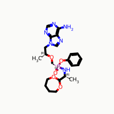 C[C@H](Cn1cnc2c(N)ncnc21)OC[P@@](=O)(N[C@H](C)C1OCCCCO1)Oc1ccccc1